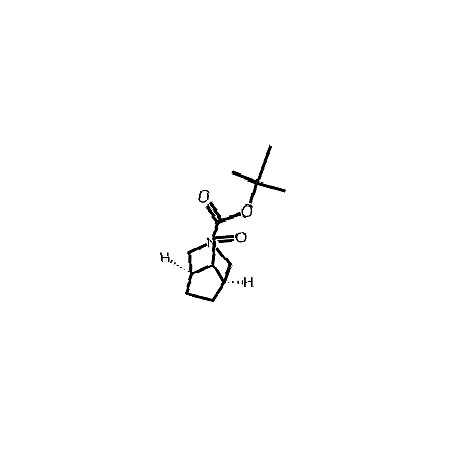 CC(C)(C)OC(=O)N1C[C@H]2CC[C@@H](C1)C2C=O